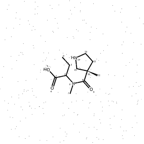 CCC(C(=O)O)N(C)C(=O)[C@@]1(C)CCNC1